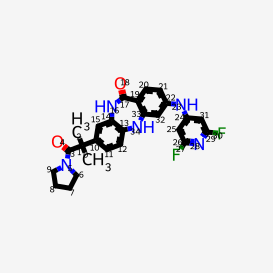 CC(C)(C(=O)N1CCCC1)c1ccc2c(c1)NC(=O)c1ccc(Nc3cc(F)nc(F)c3)cc1N2